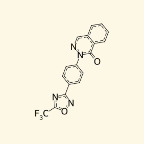 O=c1c2ccccc2cnn1-c1ccc(-c2noc(C(F)(F)F)n2)cc1